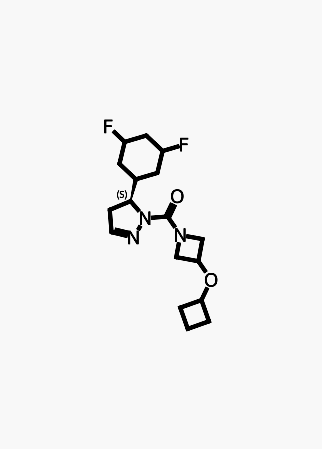 O=C(N1CC(OC2CCC2)C1)N1N=CC[C@H]1C1CC(F)CC(F)C1